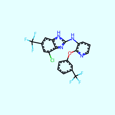 FC(F)(F)c1cccc(Oc2ncccc2Nc2nc3c(Cl)cc(C(F)(F)F)cc3[nH]2)c1